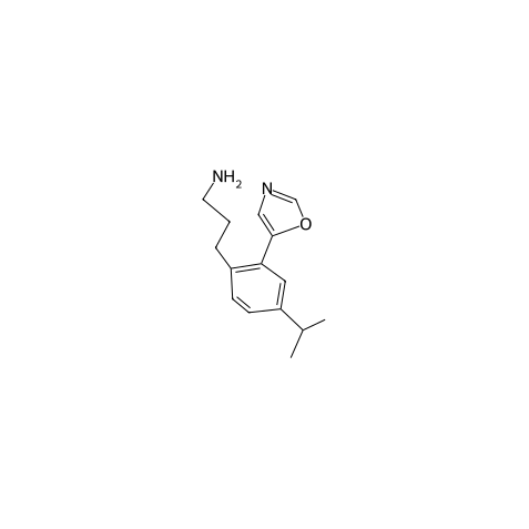 CC(C)c1ccc(CCCN)c(-c2cnco2)c1